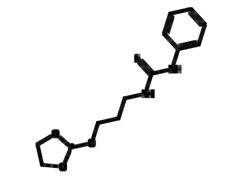 S=C(NCCCOP1OCCO1)Nc1ccccc1